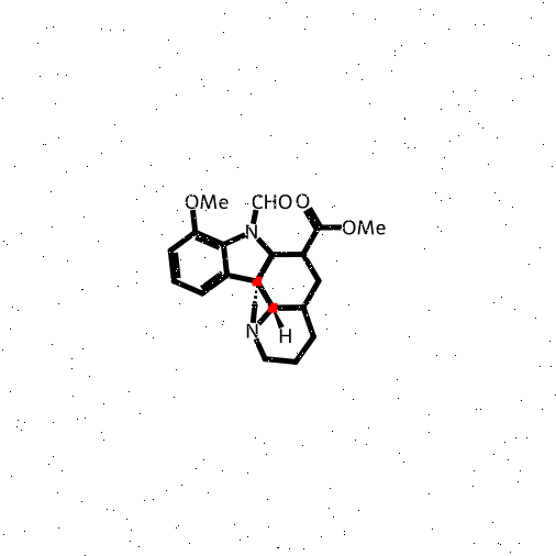 COC(=O)C1CC23CCCN4CC[C@@]5(c6cccc(OC)c6N(C=O)C15CC2)[C@@H]43